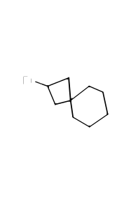 CCC1CC2(CCCCC2)C1